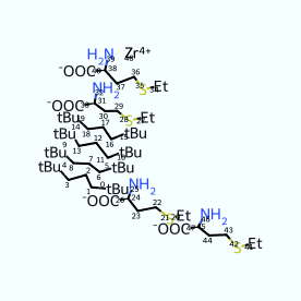 CC(C)(C)CCCC(C)(C)C.CC(C)(C)CCCC(C)(C)C.CC(C)(C)CCCC(C)(C)C.CC(C)(C)CCCC(C)(C)C.CCSCC[C@H](N)C(=O)[O-].CCSCC[C@H](N)C(=O)[O-].CCSCC[C@H](N)C(=O)[O-].CCSCC[C@H](N)C(=O)[O-].[Zr+4]